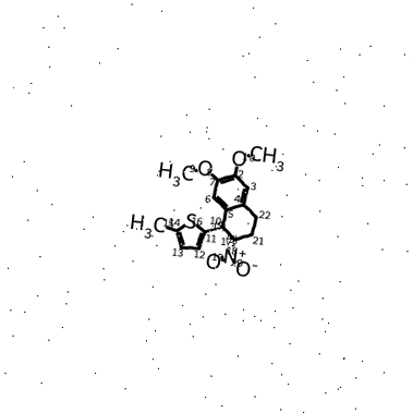 COc1cc2c(cc1OC)[C@H](c1ccc(C)s1)[C@@H]([N+](=O)[O-])CC2